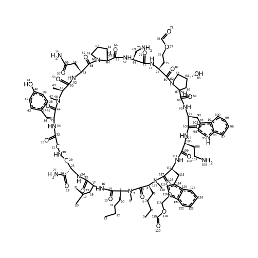 CCCC[C@H]1C(=O)N(C)[C@@H](CCCC)C(=O)NC(CC(C)C)C(=O)N[C@H](C(N)=O)CNCC(=O)N[C@@H](Cc2ccc(O)cc2)C(=O)N(C)[C@@H](C)C(=O)N[C@@H](CC(N)=O)C(=O)N2CCC[C@H]2C(=O)N[C@@H](CN)C(=O)N[C@@H](CCOC=O)C(=O)N2C[C@H](O)C[C@H]2C(=O)N[C@@H](Cc2c[nH]c3ccccc23)C(=O)N[C@@H](CCN)C(=O)N[C@@H](Cc2cn(COC=O)c3ccccc23)C(=O)N1C